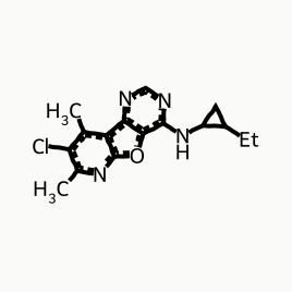 CCC1CC1Nc1ncnc2c1oc1nc(C)c(Cl)c(C)c12